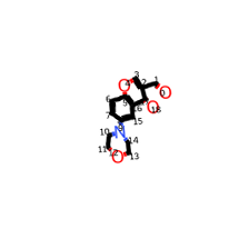 O=Cc1coc2ccc(N3CCOCC3)cc2c1=O